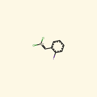 [Cl][Ru-2]([Cl])=[CH]c1ccccc1I